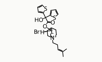 CC(C)=CCC[N+]12CCC(CC1)[C@@H](OC(=O)C(O)(c1cccs1)c1cccs1)C2.[Br-]